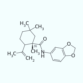 C=C(C)C1CCC(C)(C)C[C@]1(C)C(=O)Nc1ccc2c(c1)OCO2